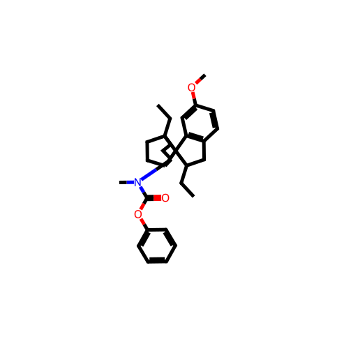 CCC1Cc2ccc(OC)cc2C12C1CCC2(CC)CCC1N(C)C(=O)Oc1ccccc1